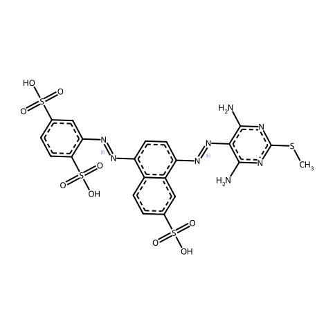 CSc1nc(N)c(/N=N/c2ccc(/N=N/c3cc(S(=O)(=O)O)ccc3S(=O)(=O)O)c3ccc(S(=O)(=O)O)cc23)c(N)n1